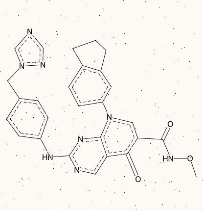 CONC(=O)c1cn(-c2ccc3c(c2)CCC3)c2nc(Nc3ccc(Cn4cncn4)cc3)ncc2c1=O